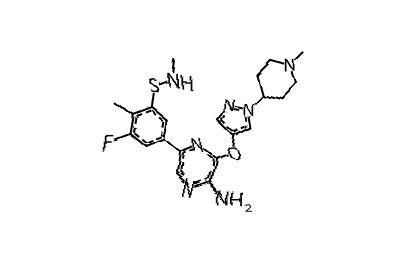 CNSc1cc(-c2cnc(N)c(Oc3cnn(C4CCN(C)CC4)c3)n2)cc(F)c1C